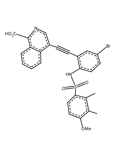 COc1ccc(S(=O)(=O)Nc2ccc(Br)cc2C#Cc2cnc(C(=O)O)c3ccccc23)c(C)c1C